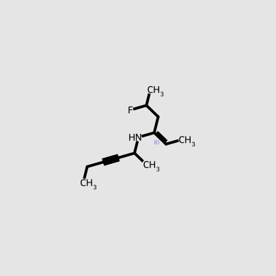 C/C=C(\CC(C)F)NC(C)C#CCC